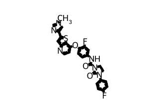 Cn1cnc(-c2cc3nccc(Oc4ccc(NC(=O)N5CCN(c6ccc(F)cc6)C5=O)cc4F)c3s2)c1